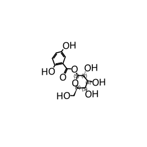 O=C(O[C@@H]1O[C@H](CO)[C@@H](O)[C@H](O)[C@H]1O)c1cc(O)ccc1O